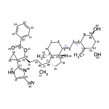 C=C1/C(=C\C=C2/CCC[C@]3(C)[C@@H]([C@H](C)CC[C@H](OC(=O)c4ccccc4)C4(c5nc(CCC)c[nH]5)CC4)CC[C@@H]23)C[C@@H](O)C[C@@H]1O